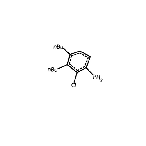 CCCCc1ccc(P)c(Cl)c1CCCC